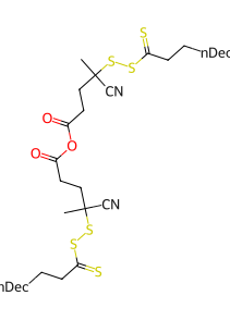 CCCCCCCCCCCCC(=S)SSC(C)(C#N)CCC(=O)OC(=O)CCC(C)(C#N)SSC(=S)CCCCCCCCCCCC